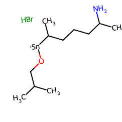 Br.CC(C)C[O][Sn][CH](C)CCCC(C)N